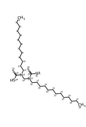 CCCCCCCCCCCCCN(CN(CCCCCCCCCCCCC)C(=S)S)C(=S)S